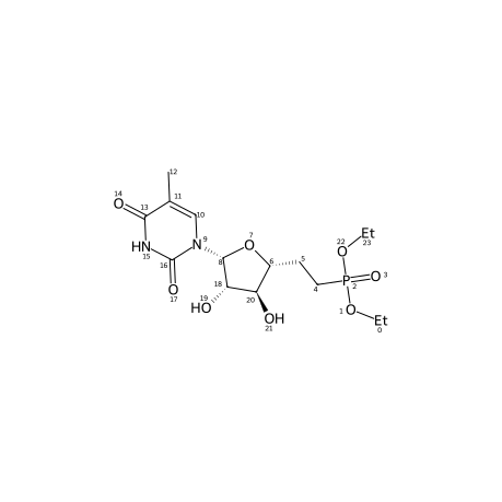 CCOP(=O)(CC[C@H]1O[C@@H](n2cc(C)c(=O)[nH]c2=O)[C@@H](O)[C@@H]1O)OCC